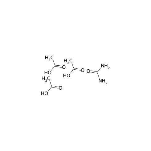 CC(=O)O.CC(=O)O.CC(=O)O.NC(N)=O